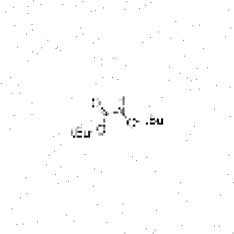 CC(C)(C)ONC(=O)OC(C)(C)C